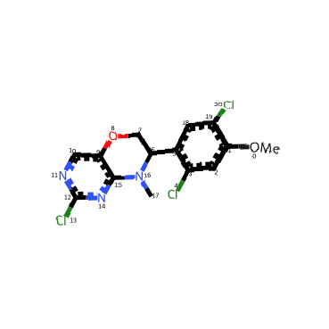 COc1cc(Cl)c(C2COc3cnc(Cl)nc3N2C)cc1Cl